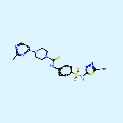 CCc1nnc(NS(=O)(=O)c2ccc(NC(=S)N3CCN(c4ccnc(C)n4)CC3)cc2)s1